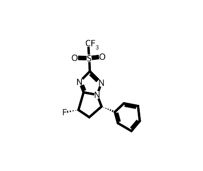 O=S(=O)(c1nc2n(n1)[C@H](c1ccccc1)C[C@@H]2F)C(F)(F)F